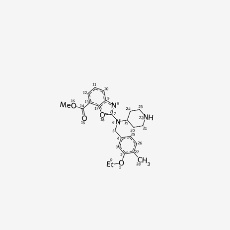 CCOc1cc(CN(c2nc3cccc(C(=O)OC)c3o2)C2CCNCC2)ccc1C